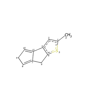 Cc1cc2c(s1)CC1=CCC=C12